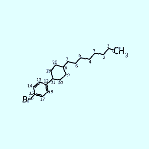 CCCCCCCCC1CCC(c2ccc(Br)cc2)CC1